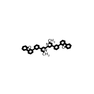 Cc1cc(-c2cccc(-c3cccc4c3oc3ccccc34)c2)cc(-c2cc(-c3cccc(-c4cccc5c4oc4ccccc45)c3)cc(C)n2)n1